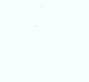 CC(C)=CCCC1(C)COC(C)(C)OC1